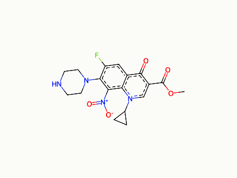 COC(=O)c1cn(C2CC2)c2c([N+](=O)[O-])c(N3CCNCC3)c(F)cc2c1=O